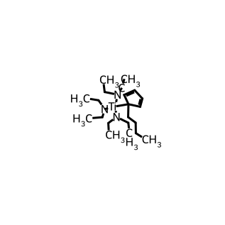 CCCC[C]1([Ti]([N](CC)CC)([N](CC)CC)[N](CC)CC)C=CC=C1